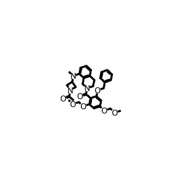 COCOc1cc(OCOC)c(C(=O)N2CCc3cccc(N(C)C4CN(C(C)=O)C4)c3C2)c(OCc2ccccc2)c1